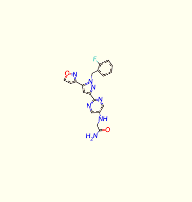 NC(=O)CNc1cnc(-c2cc(-c3ccon3)n(Cc3ccccc3F)n2)nc1